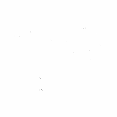 CN(CCSCc1ncoc1CSCCN(C)C(N)=S)C(N)=S.O=C(O)c1ncoc1C(=O)O